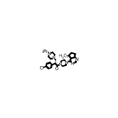 CC(C)N1CCN(C[C@H](C(=O)N2CCN(c3ncnc4c3[C@H](C)CC4)CC2)c2ccc(Cl)cc2)CC1